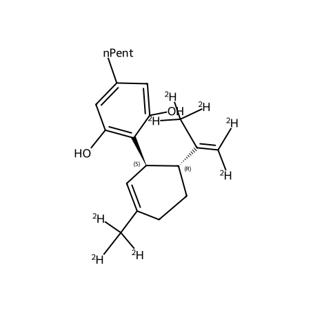 [2H]C([2H])=C([C@@H]1CCC(C([2H])([2H])[2H])=C[C@H]1c1c(O)cc(CCCCC)cc1O)C([2H])([2H])[2H]